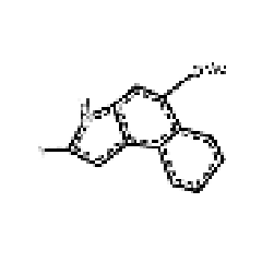 COc1cc2[nH]c(I)cc2c2ccccc12